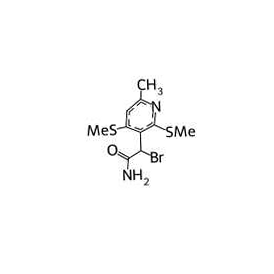 CSc1cc(C)nc(SC)c1C(Br)C(N)=O